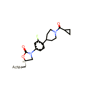 CC(=O)NC[C@H]1CN(c2ccc(C3CCN(C(=O)C4CC4)CC3)c(F)c2)C(=O)O1